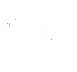 Cc1cc(Oc2ccnc(N)n2)ccc1N1C(=O)CN(c2cccc(C(F)F)c2)C1=O